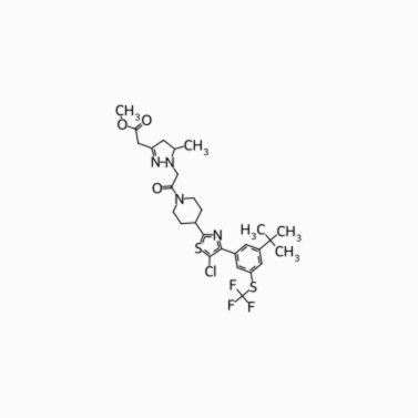 COC(=O)CC1=NN(CC(=O)N2CCC(c3nc(-c4cc(SC(F)(F)F)cc(C(C)(C)C)c4)c(Cl)s3)CC2)C(C)C1